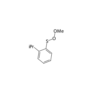 COOSc1ccccc1C(C)C